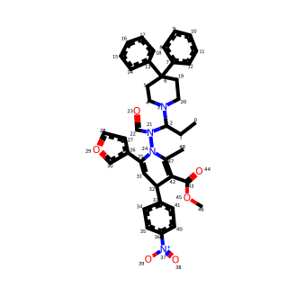 CCC(N1CCC(c2ccccc2)(c2ccccc2)CC1)N(C=O)N1C(c2ccoc2)=CC(c2ccc([N+](=O)[O-])cc2)C(C(=O)OC)=C1C